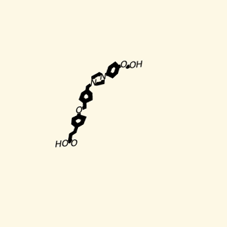 O=C(O)CCc1ccc(OCc2ccc(CN3CCN(c4ccc(OCO)cc4)CC3)cc2)cc1